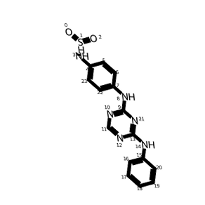 O=[SH](=O)Nc1ccc(Nc2ncnc(Nc3ccccc3)n2)cc1